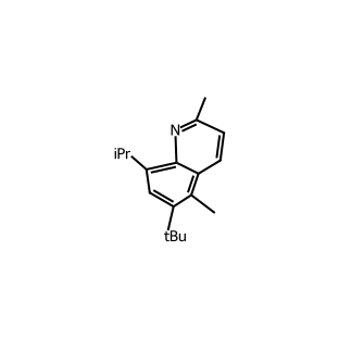 Cc1ccc2c(C)c(C(C)(C)C)cc(C(C)C)c2n1